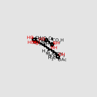 CC(=O)OC1CC(C)(C)C(=C=C/C(C)=C/C=C/C(C)=C/C=C/C=C(C)/C=C/C=C(\C)C(=O)CC2(O)C(C)(C)CC(O)CC2(C)O)C(C)(O)C1.O=C(O)CCC(=O)O.Oc1ccc(/C=C/c2cc(O)cc(O)c2)cc1